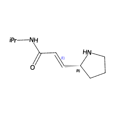 CC(C)NC(=O)/C=C/[C@H]1CCCN1